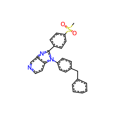 CS(=O)(=O)c1ccc(-c2nc3cnccc3n2-c2ccc(Cc3ccccc3)cc2)cc1